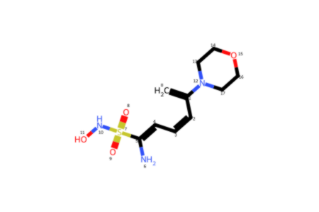 C=C(/C=C\C=C(/N)S(=O)(=O)NO)N1CCOCC1